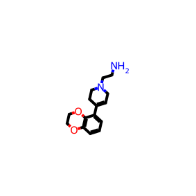 NCCN1CC=C(c2cccc3c2OCCO3)CC1